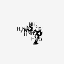 NNc1nc(N)cc(OCc2cc(C(=O)NC3CC3)ccc2F)c1N